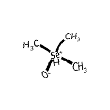 C[SeH+](C)(C)[O-]